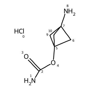 Cl.NC(=O)OC12CC(N)(C1)C2